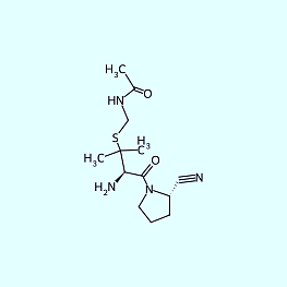 CC(=O)NCSC(C)(C)[C@H](N)C(=O)N1CCC[C@H]1C#N